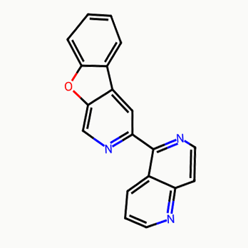 c1ccc2c(c1)oc1cnc(-c3nccc4ncccc34)cc12